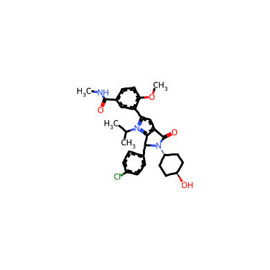 CNC(=O)c1ccc(OC)c(-c2cc3c(n2C(C)C)C(c2ccc(Cl)cc2)N([C@H]2CC[C@H](O)CC2)C3=O)c1